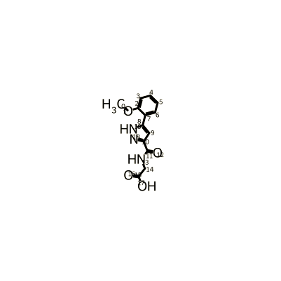 COc1ccccc1-c1cc(C(=O)NCC(=O)O)n[nH]1